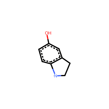 Oc1ccc2c(c1)CC[N]2